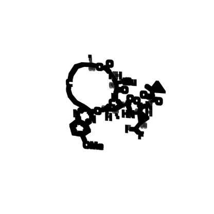 COc1ccc2nc3c(nc2c1)O[C@H]1CN(C(=O)[C@H](C(C)(C)C)NC(=O)O[C@@H](C)CCCCCCC3)[C@H](C(=O)N[C@]2(C(=O)NS(=O)(=O)C3(C)CC3)C[C@H]2C(F)F)[C@@H]1C